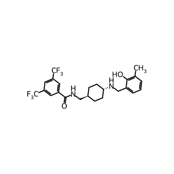 Cc1cccc(CN[C@H]2CC[C@H](CNC(=O)c3cc(C(F)(F)F)cc(C(F)(F)F)c3)CC2)c1O